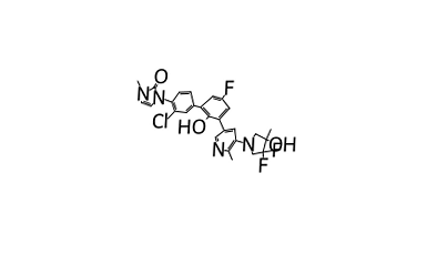 Cc1ncc(-c2cc(F)cc(-c3ccc(-n4ccn(C)c4=O)c(Cl)c3)c2O)cc1N1CC(C)(O)C(F)(F)C1